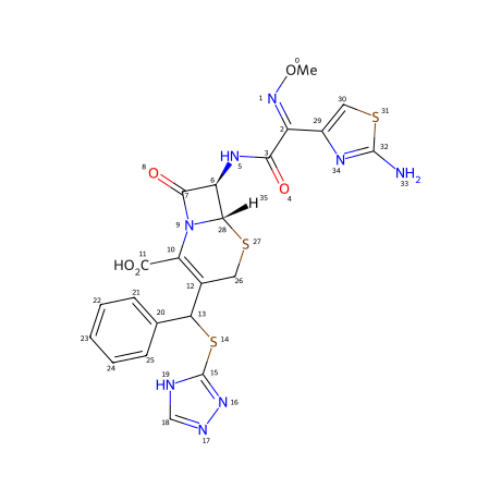 CON=C(C(=O)N[C@@H]1C(=O)N2C(C(=O)O)=C(C(Sc3nnc[nH]3)c3ccccc3)CS[C@@H]12)c1csc(N)n1